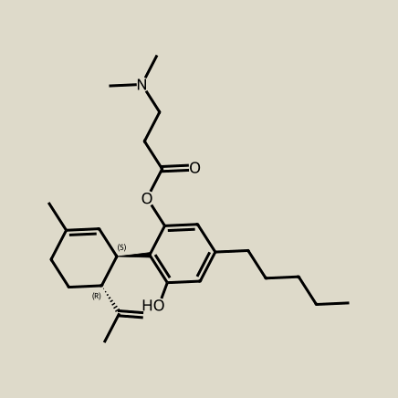 C=C(C)[C@@H]1CCC(C)=C[C@H]1c1c(O)cc(CCCCC)cc1OC(=O)CCN(C)C